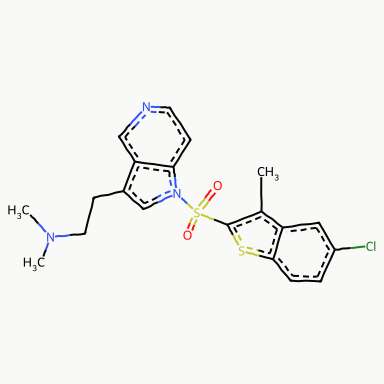 Cc1c(S(=O)(=O)n2cc(CCN(C)C)c3cnccc32)sc2ccc(Cl)cc12